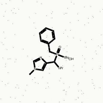 CCCC(c1cn(C)cn1)P(=O)(Cc1ccccc1)C(C)(C)C.Cl